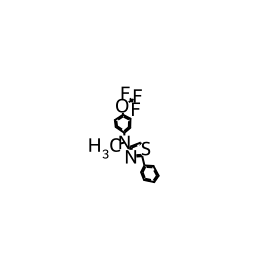 CN(c1ccc(OC(F)(F)F)cc1)c1csc(-c2ccccc2)n1